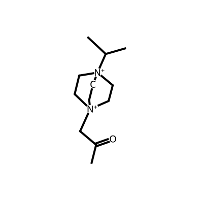 CC(=O)C[N+]12CC[N+](C(C)C)(CC1)CC2